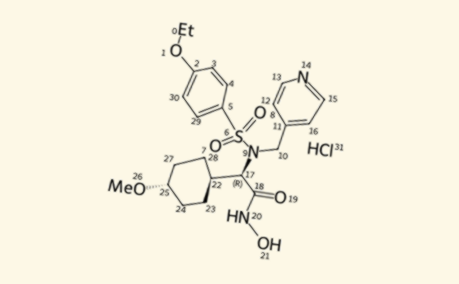 CCOc1ccc(S(=O)(=O)N(Cc2ccncc2)[C@@H](C(=O)NO)[C@H]2CC[C@H](OC)CC2)cc1.Cl